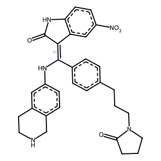 O=C1Nc2ccc([N+](=O)[O-])cc2/C1=C(/Nc1ccc2c(c1)CCNC2)c1ccc(CCCN2CCCC2=O)cc1